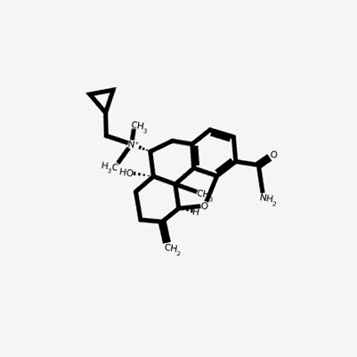 C=C1CC[C@@]2(O)[C@H]([N+](C)(C)CC3CC3)Cc3ccc(C(N)=O)c4c3C2(C)[C@H]1O4